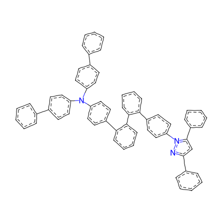 c1ccc(-c2ccc(N(c3ccc(-c4ccccc4)cc3)c3ccc(-c4ccccc4-c4ccccc4-c4ccc(-n5nc(-c6ccccc6)cc5-c5ccccc5)cc4)cc3)cc2)cc1